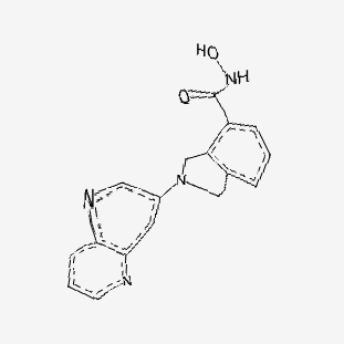 O=C(NO)c1cccc2c1CN(c1cnc3cccnc3c1)C2